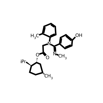 C/N=C(\c1ccc(O)cc1)N(CC(=O)O[C@@H]1C[C@H](C)CC[C@H]1C(C)C)c1ccccc1C